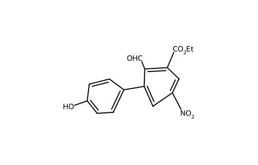 CCOC(=O)c1cc([N+](=O)[O-])cc(-c2ccc(O)cc2)c1C=O